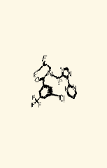 C[C@@H](c1ncnn1-c1ncccn1)N(CC(F)F)C(=O)c1cc(Cl)cc(C(F)(F)F)c1